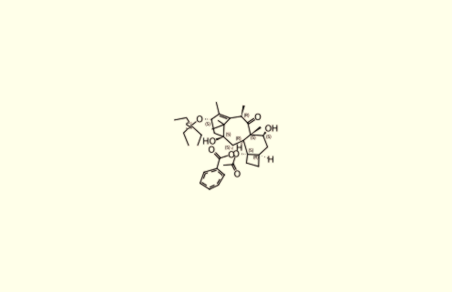 CC[Si](CC)(CC)O[C@H]1C[C@@]2(O)[C@@H](OC(=O)c3ccccc3)[C@@H]3[C@]4(OC(C)=O)CC[C@@H]4C[C@H](O)[C@@]3(C)C(=O)[C@H](C)C(=C1C)C2(C)C